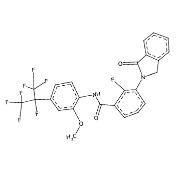 COc1cc(C(F)(C(F)(F)F)C(F)(F)F)ccc1NC(=O)c1cccc(N2Cc3ccccc3C2=O)c1F